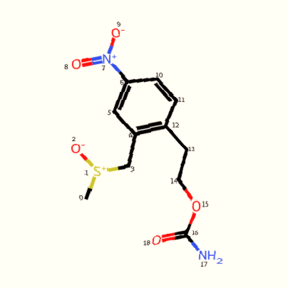 C[S+]([O-])Cc1cc([N+](=O)[O-])ccc1CCOC(N)=O